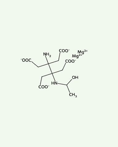 CC(O)NC(CC(=O)[O-])(CC(=O)[O-])C(N)(CC(=O)[O-])CC(=O)[O-].[Mg+2].[Mg+2]